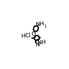 Cc1c(O[C@H]2CC[C@@H](N)CC2)ccc2[nH]ncc12.Cl